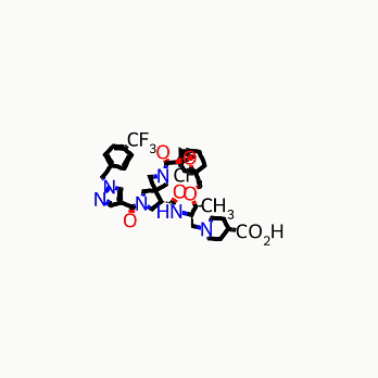 C[C@@H](OCC12CCC(CC1)OC2)[C@@H](CN1CCC(C(=O)O)CC1)NC(=O)[C@@H]1CN(C(=O)c2cnn(Cc3ccc(C(F)(F)F)cc3)c2)CC12CN(C(=O)C1(C(F)(F)F)CC1)C2